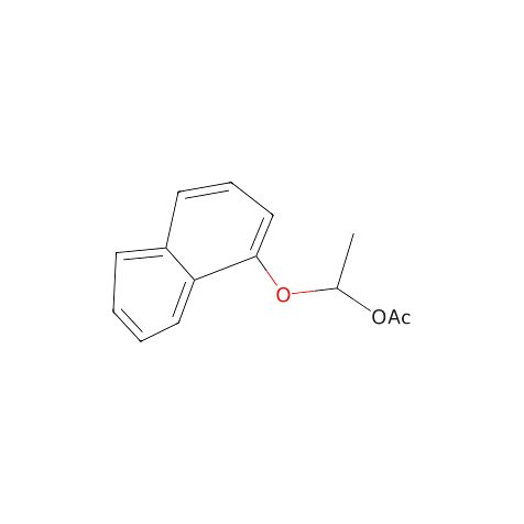 CC(=O)OC(C)Oc1cccc2ccccc12